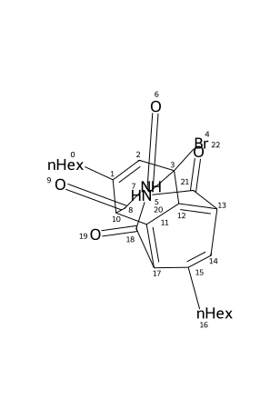 CCCCCCC1=CC2(Br)C(=O)NC(=O)C1c1c2c2cc(CCCCCC)c1c(=O)[nH]c2=O